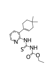 CCOC(=O)NC(=S)Nc1ncccc1C1=CCC(C)(C)CC1